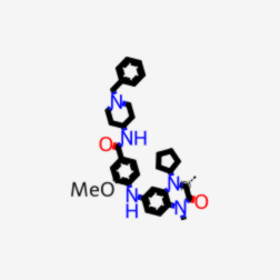 COc1cc(C(=O)NC2CCN(Cc3ccccc3)CC2)ccc1Nc1ccc2c(c1)N(C1CCCC1)[C@H](C)C(=O)N2C